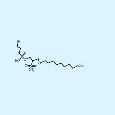 CCCCCCCCCCCCCCCCCCOCC(COP(=O)(O)OCCBr)S(C)(=O)=O